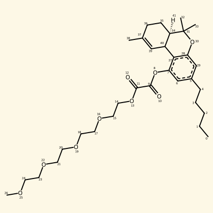 CCCCCc1cc(OC(=O)C(=O)OCCOCCOCCOCCOC)c2c(c1)OC(C)(C)[C@@H]1CCC(C)=CC21